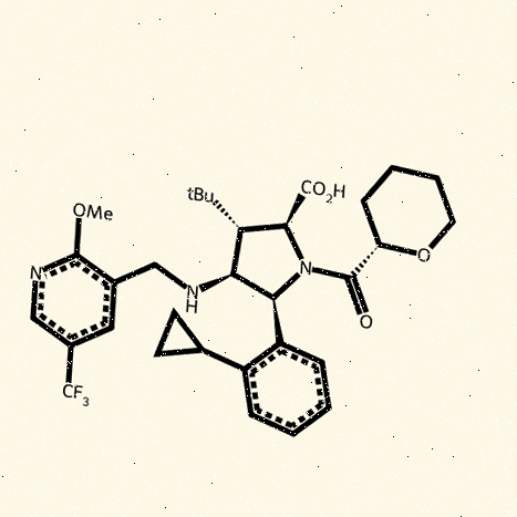 COc1ncc(C(F)(F)F)cc1CN[C@H]1[C@H](C(C)(C)C)[C@@H](C(=O)O)N(C(=O)[C@@H]2CCCCO2)[C@H]1c1ccccc1C1CC1